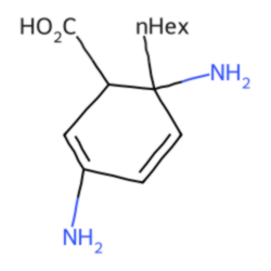 CCCCCCC1(N)C=CC(N)=CC1C(=O)O